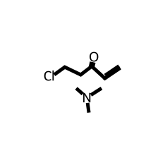 C=CC(=O)CCCl.CN(C)C